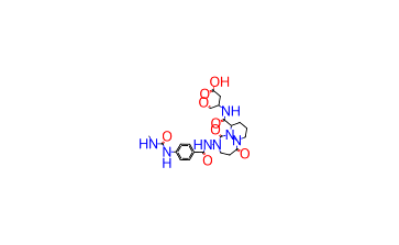 CNC(=O)Nc1ccc(C(=O)NN2CCC(=O)N3CCCC(C(=O)NC(C=O)CC(=O)O)N3C2=O)cc1